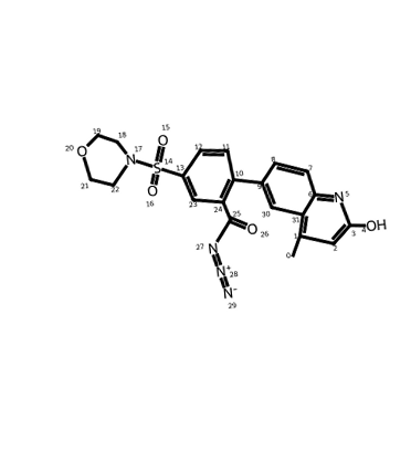 Cc1cc(O)nc2ccc(-c3ccc(S(=O)(=O)N4CCOCC4)cc3C(=O)N=[N+]=[N-])cc12